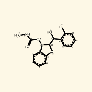 CNC(=O)ON1c2ccccc2OC1C(O)c1ccccc1Cl